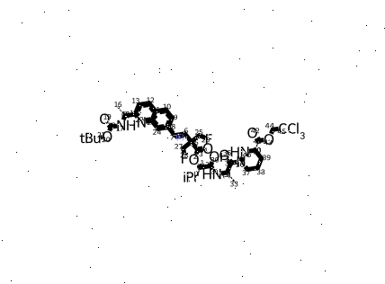 CC(C)[C@H](OC(=O)C(/C=C/c1ccc2ccc([C@@H](C)NC(=O)OC(C)(C)C)nc2c1)(CF)CF)C(O)N[C@@H](C)C(=O)N1CCC[C@@H](C(=O)OCC(Cl)(Cl)Cl)N1